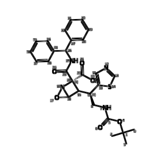 CC(C)(C)OC(=O)NC[C@H](c1cncs1)C1C2ON2[C@@]1(C(=O)O)C(=O)NC(c1ccccc1)c1ccccc1